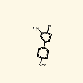 COc1ccc(-c2ccc(O)c([N+](=O)[O-])c2)cc1